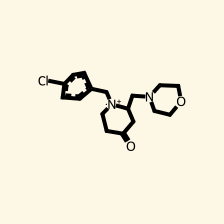 O=C1CC[N+](Cc2ccc(Cl)cc2)C(CN2CCOCC2)C1